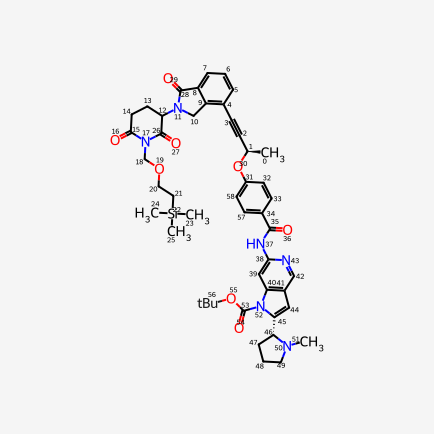 C[C@H](C#Cc1cccc2c1CN(C1CCC(=O)N(COCC[Si](C)(C)C)C1=O)C2=O)Oc1ccc(C(=O)Nc2cc3c(cn2)cc([C@H]2CCCN2C)n3C(=O)OC(C)(C)C)cc1